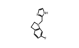 Fc1ccc2c(c1)N(Cc1ncc[nH]1)CC2